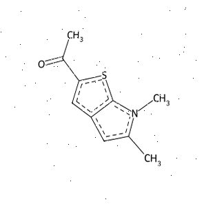 CC(=O)c1cc2cc(C)n(C)c2s1